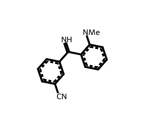 CNc1ccccc1C(=N)c1cccc(C#N)c1